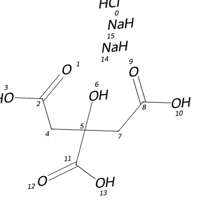 Cl.O=C(O)CC(O)(CC(=O)O)C(=O)O.[NaH].[NaH]